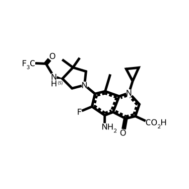 Cc1c(N2C[C@@H](NC(=O)C(F)(F)F)C(C)(C)C2)c(F)c(N)c2c(=O)c(C(=O)O)cn(C3CC3)c12